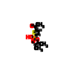 CCC(C)OP(=O)(O)c1ccc(C(C)=O)s1